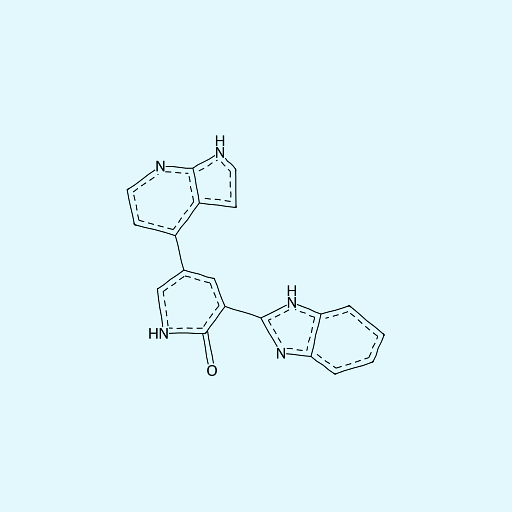 O=c1[nH]cc(-c2ccnc3[nH]ccc23)cc1-c1nc2ccccc2[nH]1